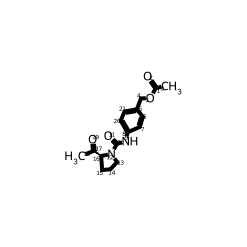 CC(=O)OCc1ccc(NC(=O)N2CCC[C@H]2C(C)=O)cc1